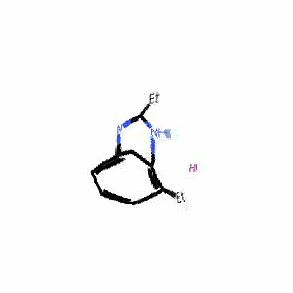 CCc1nc2cccc(CC)c2[nH]1.I